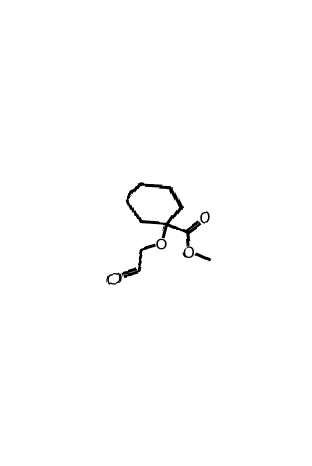 COC(=O)C1(OCC=O)CCCCC1